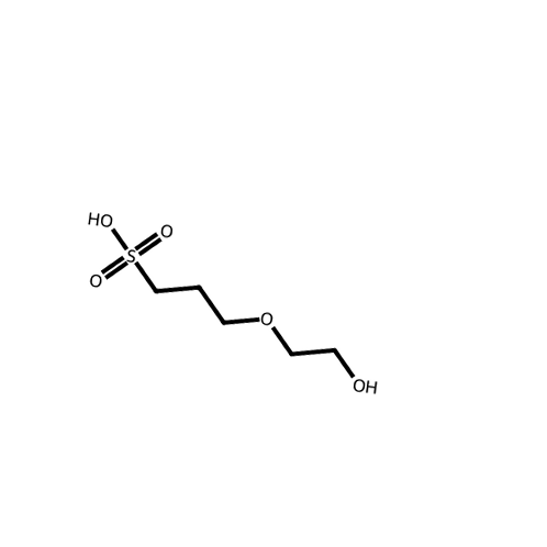 O=S(=O)(O)CCCOCCO